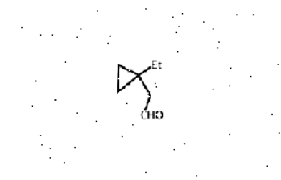 CCC1(CC=O)CC1